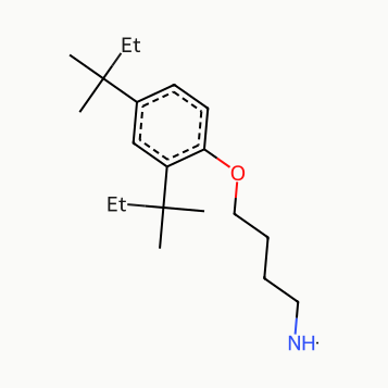 CCC(C)(C)c1ccc(OCCCC[NH])c(C(C)(C)CC)c1